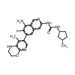 Cc1c(-c2cc3cc(NC(=O)N[C@H]4CC[C@@H](C)C4)ncc3c(N)c2F)cnc2c1NCCO2